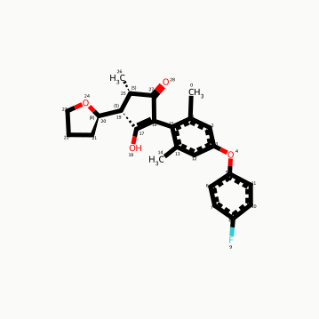 Cc1cc(Oc2ccc(F)cc2)cc(C)c1C1=C(O)[C@H]([C@H]2CCCO2)[C@H](C)C1=O